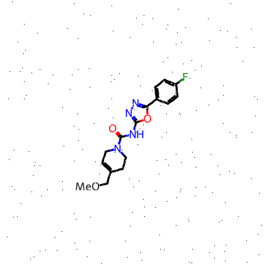 COCC1=CCN(C(=O)Nc2nnc(-c3ccc(F)cc3)o2)CC1